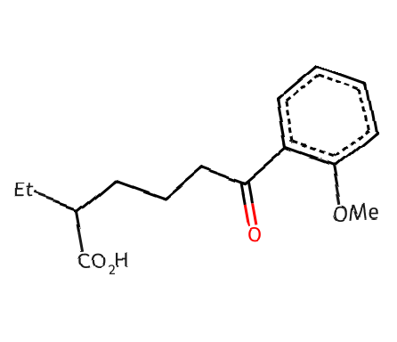 CCC(CCCC(=O)c1ccccc1OC)C(=O)O